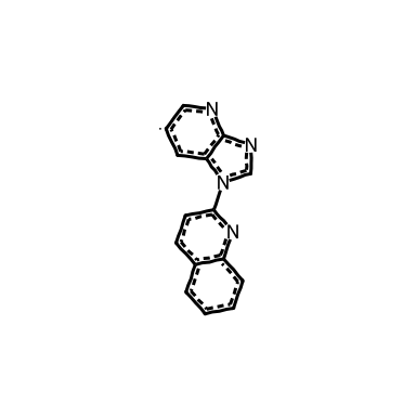 [c]1cnc2ncn(-c3ccc4ccccc4n3)c2c1